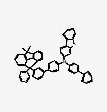 CC1(C)c2cccc3c2-c2c1cccc2C3(c1ccccc1)c1cccc(-c2ccc(N(c3ccc(-c4ccccc4)cc3)c3ccc4c(c3)oc3ccccc34)cc2)c1